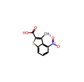 Cc1c(C(=O)O)sc2cccc([N+](=O)[O-])c12